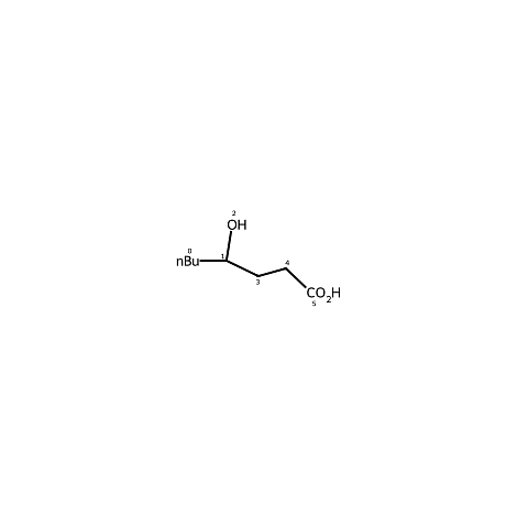 CCCCC(O)CCC(=O)O